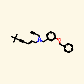 C#CCN(CC=CC#CC(C)(C)C)Cc1cccc(OCc2ccccc2)c1